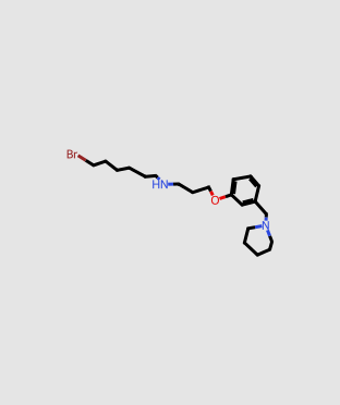 BrCCCCCCNCCCOc1cccc(CN2CCCCC2)c1